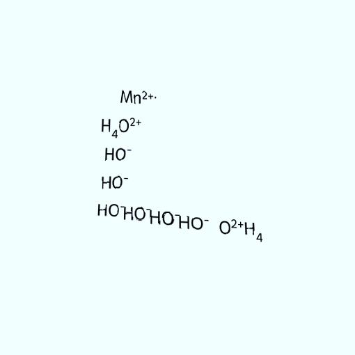 [Mn+2].[OH-].[OH-].[OH-].[OH-].[OH-].[OH-].[OH4+2].[OH4+2]